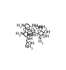 NCC(O)CN[C@@H]1C[C@H](N)[C@@H](O[C@H]2O[C@H](CN)CC[C@H]2N)[C@H](O[C@@H]2O[C@H](CO)[C@@H](O[C@H]3O[C@@H](CN)[C@@H](O)[C@H](O)[C@H]3N)[C@H]2O)[C@H]1O